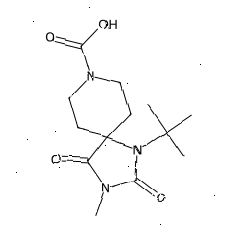 CN1C(=O)N(C(C)(C)C)C2(CCN(C(=O)O)CC2)C1=O